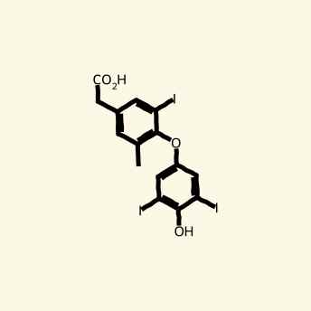 Cc1cc(CC(=O)O)cc(I)c1Oc1cc(I)c(O)c(I)c1